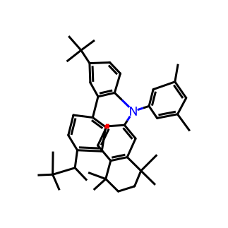 Cc1cc(C)cc(N(c2ccc3c(c2)C(C)(C)CCC3(C)C)c2ccc(C(C)(C)C)cc2-c2ccc(C(C)C(C)(C)C)cc2)c1